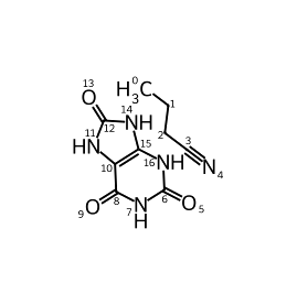 CCCC#N.O=c1[nH]c(=O)c2[nH]c(=O)[nH]c2[nH]1